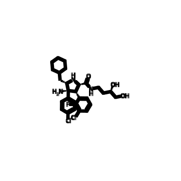 N[C@]1(c2ccc(Cl)cc2)[C@H](CC2CCCCC2)N[C@H](C(=O)NCC[C@H](O)CO)[C@@H]1c1cccc(Cl)c1F